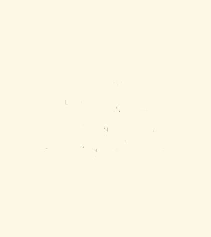 CCOC(=O)C1=C(CBr)NC(c2c(F)cc(F)cc2F)=NC1c1ccc(F)cc1Br